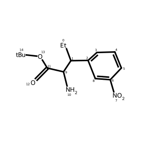 CCC(c1cccc([N+](=O)[O-])c1)C(N)C(=O)OC(C)(C)C